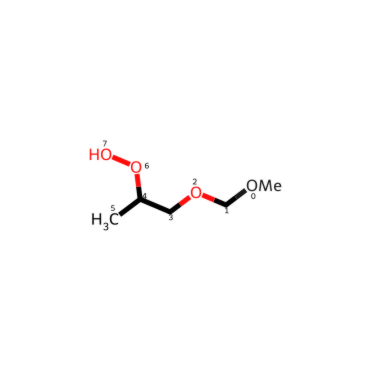 COCOCC(C)OO